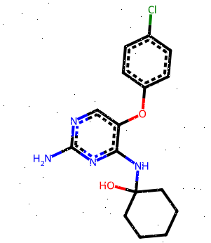 Nc1ncc(Oc2ccc(Cl)cc2)c(NC2(O)CCCCC2)n1